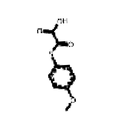 COc1ccc(SC(=O)C(=O)O)cc1